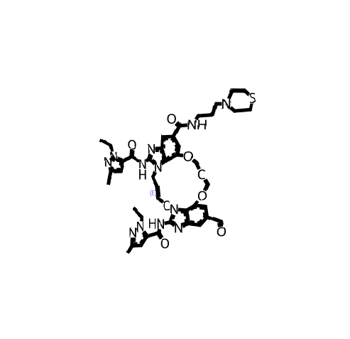 CCn1nc(C)cc1C(=O)Nc1nc2cc(C=O)cc3c2n1C/C=C/Cn1c(NC(=O)c2cc(C)nn2CC)nc2cc(C(=O)NCCCN4CCSCC4)cc(c21)OCCCO3